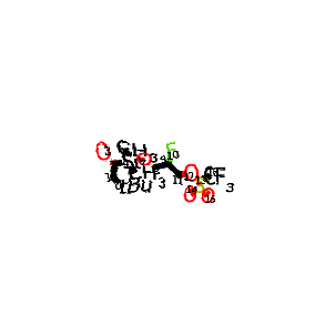 CC(C)(C)CC(=O)[Si](C)(C)OCC(F)COS(=O)(=O)C(F)(F)F